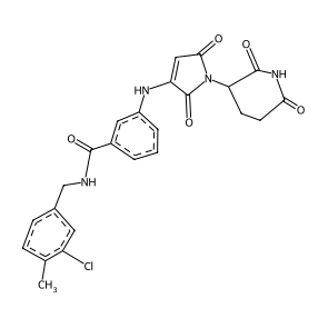 Cc1ccc(CNC(=O)c2cccc(NC3=CC(=O)N(C4CCC(=O)NC4=O)C3=O)c2)cc1Cl